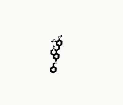 COc1ccc(CC2NCCc3cc(OCc4ccccc4)ccc32)cc1OC